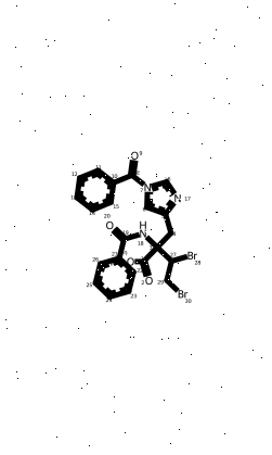 COC(=O)C(Cc1cn(C(=O)c2ccccc2)cn1)(NC(=O)c1ccccc1)C(Br)CBr